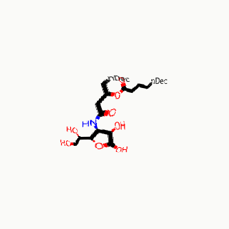 CCCCCCCCCCCCCC(=O)OC(CCCCCCCCCCC)CC(=O)N[C@@H]1[C@@H]([C@H](O)CO)OC(O)[C@@H]1O